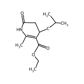 CCOC(=O)C1=C(C)NC(=O)CC1CC(C)C